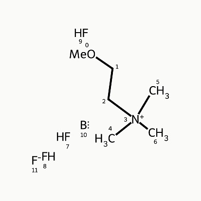 COCC[N+](C)(C)C.F.F.F.[B].[F-]